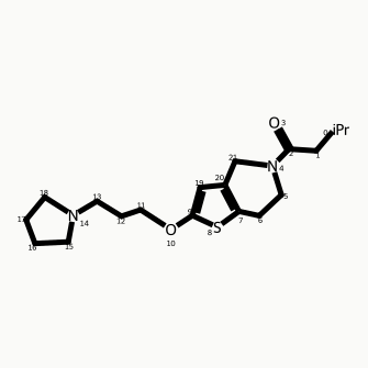 CC(C)CC(=O)N1CCc2sc(OCCCN3CCCC3)cc2C1